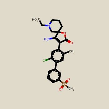 Cc1cc(-c2cccc(S(C)(=O)=O)c2)c(Cl)cc1C1=C(N)C2(CCCN(CC(=O)O)C2)OC1=O